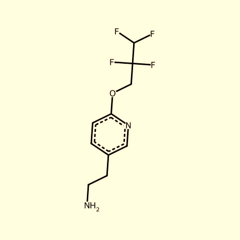 NCCc1ccc(OCC(F)(F)C(F)F)nc1